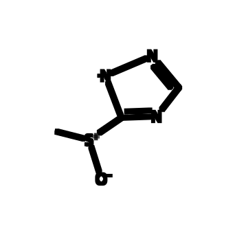 C[S+]([O-])C1=NC=N[N]1